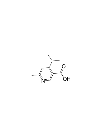 Cc1cc(C(C)C)c(C(=O)O)cn1